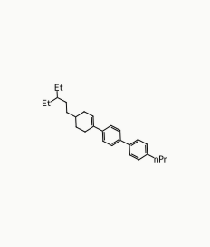 CCCc1ccc(-c2ccc(C3=CCC(CCC(CC)CC)CC3)cc2)cc1